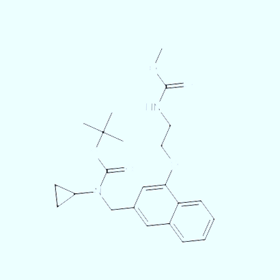 COC(=O)NCCOc1cc(CN(C(=O)OC(C)(C)C)C2CC2)cc2ccccc12